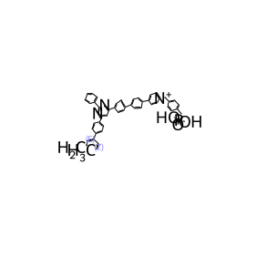 C=C/C=C(\C=C/C)c1ccc(-c2cc(-c3ccc(-c4ccc(-c5cc[n+](Cc6ccc(CP(=O)(O)O)cc6)cc5)cc4)cc3)nc(-c3ccccc3)n2)cc1